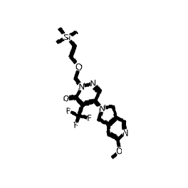 COc1cc2c(cn1)CN(c1cnn(COCC[Si](C)(C)C)c(=O)c1C(F)(F)F)C2